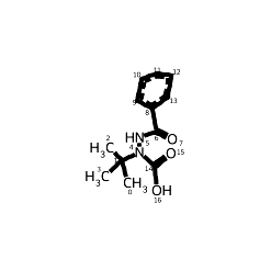 CC(C)(C)N(NC(=O)c1ccccc1)C(=O)O